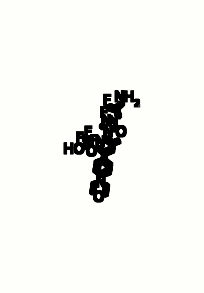 Cc1cc(-c2ccc(N3CCOCC3)cc2)cnc1-n1cnn(CC(CN)=C(F)F)c1=O.O=C(O)C(F)(F)F